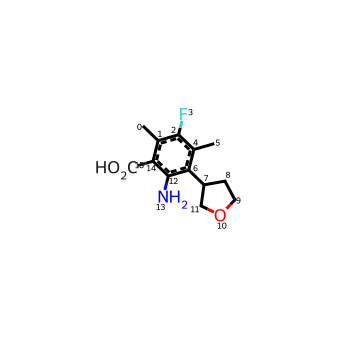 Cc1c(F)c(C)c(C2CCOC2)c(N)c1C(=O)O